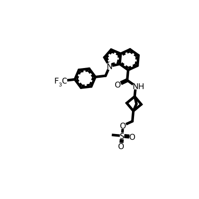 CS(=O)(=O)OCC12CC(NC(=O)c3cccc4ccn(Cc5ccc(C(F)(F)F)cc5)c34)(C1)C2